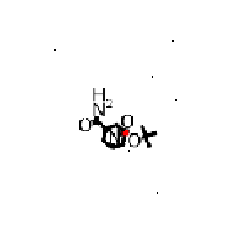 CC(C)(C)OC(=O)N1C2CCCC1(C(N)=O)C2